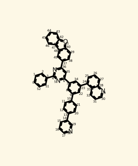 c1ccc(-c2nc(-c3cc(-c4ccc(-c5cccnc5)cc4)cc(-c4cccc5ncccc45)c3)cc(-c3ccc4oc5ccccc5c4c3)n2)cc1